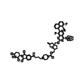 C#Cc1c(F)ccc2cccc(-c3ncc4c(N5CC6CCC(C5)N6)nc(OC[C@@]56CC[C@@H](COC(=O)N7CCN(CCCNc8ccc9c(c8)C(=O)N(C8CCC(=O)NC8=O)C9=O)CC7)N5CC(=C)C6)nc4c3F)c12